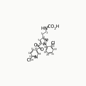 O=C(O)NCCc1cc(S(=O)(=O)c2ccc(Cl)nc2)n(-c2ccccc2Cl)n1